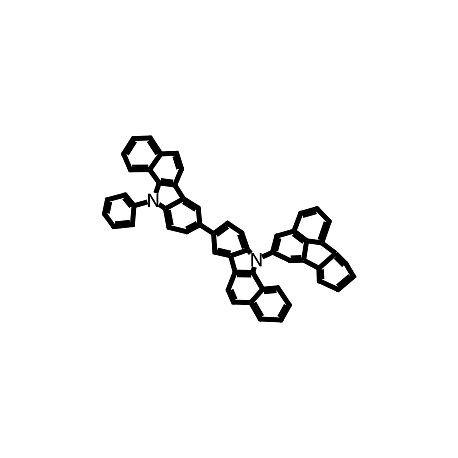 c1ccc(-n2c3ccc(-c4ccc5c(c4)c4ccc6ccccc6c4n5-c4cc5c6c(cccc6c4)-c4ccccc4-5)cc3c3ccc4ccccc4c32)cc1